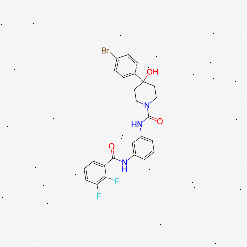 O=C(Nc1cccc(NC(=O)N2CCC(O)(c3ccc(Br)cc3)CC2)c1)c1cccc(F)c1F